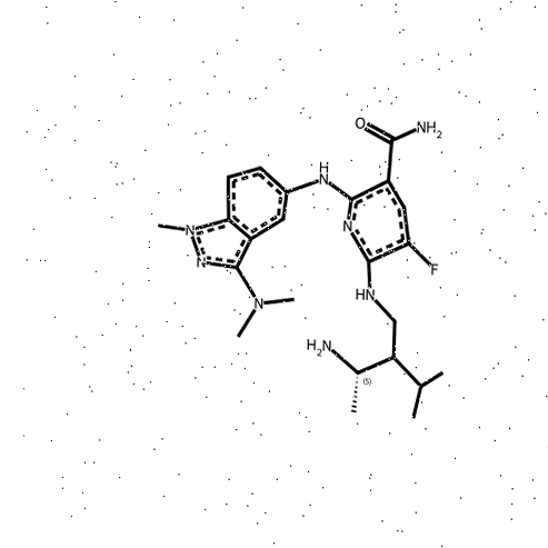 CC(C)C(CNc1nc(Nc2ccc3c(c2)c(N(C)C)nn3C)c(C(N)=O)cc1F)[C@H](C)N